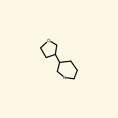 C1C[N]CC(C2CCOC2)C1